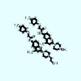 Cc1cc(N2CCN(C)CC2)nc2ccc(NC(=O)COc3ccc(C(F)(F)F)cc3)cc12.Cc1cc(N2CCN(CCO)CC2)nc2ccc(NC(=O)COc3ccc(C(F)(F)F)cc3)cc12